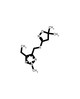 CCc1nn(C)nc1CSC1=NOC(C)(C)C1